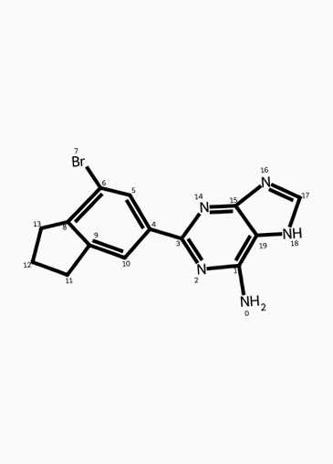 Nc1nc(-c2cc(Br)c3c(c2)CCC3)nc2nc[nH]c12